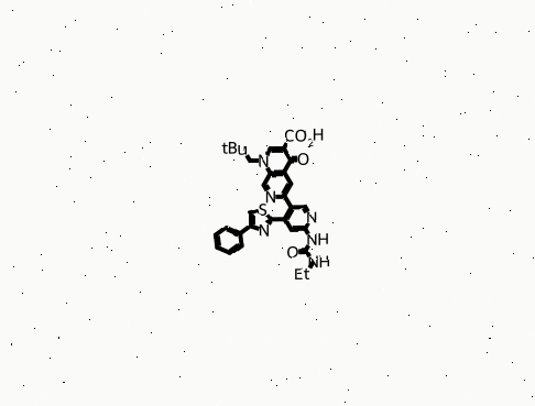 CCNC(=O)Nc1cc(-c2nc(-c3ccccc3)cs2)c(-c2cc3c(=O)c(C(=O)O)cn(CC(C)(C)C)c3cn2)cn1